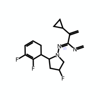 C=N/C(=N\N1CC(F)CC1C1CC=CC(F)=C1F)C(=C)C1CC1